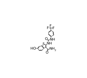 NC(=O)c1c(NC(=O)Nc2ccc(C(F)(F)F)cc2)sc2cc(O)ccc12